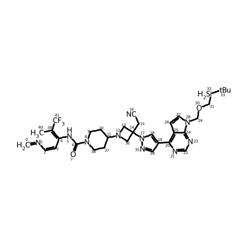 C=N/C=C\C(NC(=O)N1CCC(N2CC(CC#N)(n3cc(-c4ncnc5c4ccn5COC[SiH2]C(C)(C)C)cn3)C2)CC1)=C(/C)C(F)(F)F